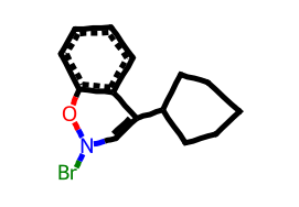 BrN1C=C(C2CCCCC2)c2ccccc2O1